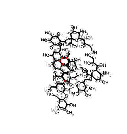 CC1C(O)[C@H](O[C@@H]2OC(CO[C@]3(C(=O)O)C[C@@H](O)[C@@H](N)C([C@H](O)C(O)CO)O3)[C@H](O)C(O)C2O)[C@H](CO)O[C@H]1O[C@@H]1C(O)[C@H](O)C(CO)O[C@@H]1OCC1O[C@@H](O[C@@H]2C(CO)O[C@@H](O[C@@H]3C(CO)O[C@@H](C)C(C)C3O)[C@@H](C)C2O)[C@H](O)C(O[C@H]2O[C@H](CO)[C@@H](O)C(O)C2O[C@@H]2OC(CO)[C@@H](O[C@@H]3OC(CO[C@]4(C(=O)O)C[C@@H](O)[C@@H](N)C([C@H](O)C(O)CO)O4)[C@H](O)C(O)[C@@H]3O)C(O)[C@@H]2C)[C@@H]1O